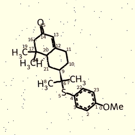 COc1ccc(SC(C)(C)[C@@H]2CCC3=CC(=O)CC(C)(C)[C@@H]3C2)cc1